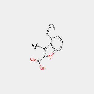 C=Cc1cccc2oc(C(=O)O)c(C)c12